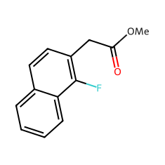 COC(=O)Cc1ccc2ccccc2c1F